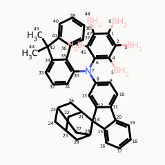 Bc1c(B)c(B)c(N(c2ccc3c(c2)C2(c4ccccc4-3)C3CC4CC(C3)CC2C4)c2cccc3c2-c2ccccc2C3(C)C)c(B)c1B